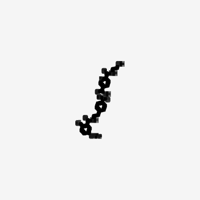 COc1ccc(Cl)c(C(=O)NCCc2ccc(S(=O)(=O)NC(=O)c3ccc(C(=O)NCCO)nc3)cc2)c1